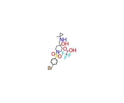 CC1(NCC2(O)CCN(S(=O)(=O)c3ccc(Br)cc3)CC2)CC1.O=C(O)C(F)(F)F